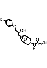 CCN(C(=O)OC(C)(C)C)N1CC2CN(C[C@H](O)COc3ccc(C#N)cc3)CC(C1)O2